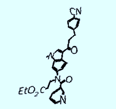 CCOC(=O)CCN(C(=O)c1cccnc1)c1ccc2c(C(=O)CCc3ccc(C#N)cc3)cn(C)c2c1